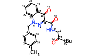 Cc1ccc(Cn2nc(C(=O)NCC(=O)C(C)(C)C)c(=O)c3ccccc32)cc1